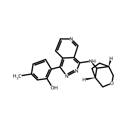 Cc1ccc(-c2nnc(NC3[C@@H]4CC[C@H]3COC4)c3cnccc23)c(O)c1